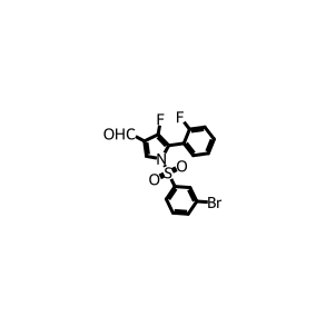 O=Cc1cn(S(=O)(=O)c2cccc(Br)c2)c(-c2ccccc2F)c1F